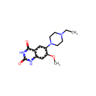 CCN1CCN(c2cc3c(=O)[nH]c(=O)[nH]c3cc2OC)CC1